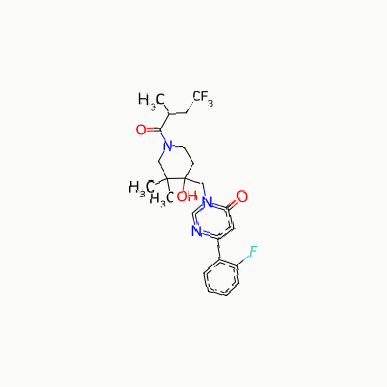 CC(CC(F)(F)F)C(=O)N1CCC(O)(Cn2cnc(-c3ccccc3F)cc2=O)C(C)(C)C1